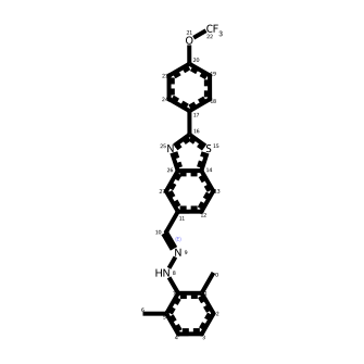 Cc1cccc(C)c1N/N=C/c1ccc2sc(-c3ccc(OC(F)(F)F)cc3)nc2c1